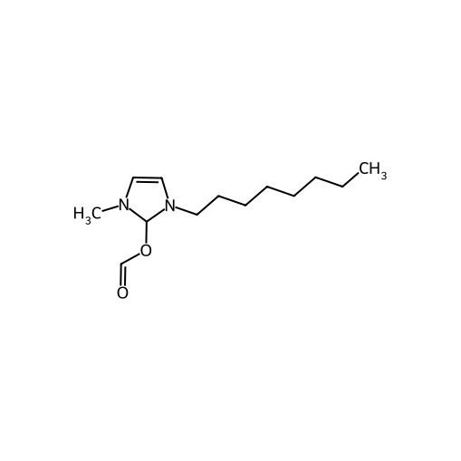 CCCCCCCCN1C=CN(C)C1OC=O